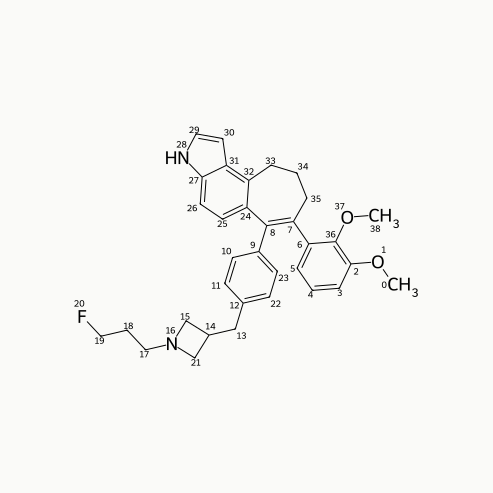 COc1cccc(C2=C(c3ccc(CC4CN(CCCF)C4)cc3)c3ccc4[nH]ccc4c3CCC2)c1OC